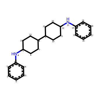 c1ccc(NC2CCC(C3CCC(Nc4ccccc4)CC3)CC2)cc1